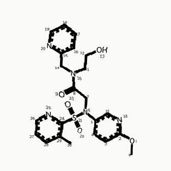 COc1ccc(N(CC(=O)N(CCO)Cc2ccccn2)S(=O)(=O)c2ncccc2C)cn1